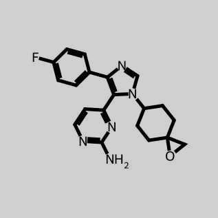 Nc1nccc(-c2c(-c3ccc(F)cc3)ncn2C2CCC3(CC2)CO3)n1